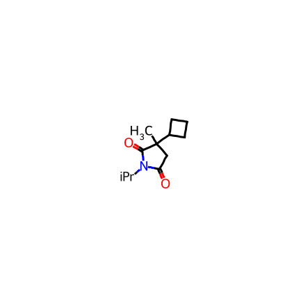 CC(C)N1C(=O)CC(C)(C2CCC2)C1=O